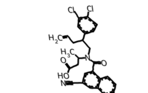 C=CCC(CN(C(=O)c1cc(C#N)cc2ccccc12)C(C)CC(=O)O)c1ccc(Cl)c(Cl)c1